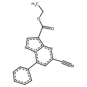 CCOC(=O)c1cnn2c(-c3ccccc3)cc(C#N)nc12